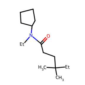 CCN(C(=O)CCC(C)(C)CC)C1CCCC1